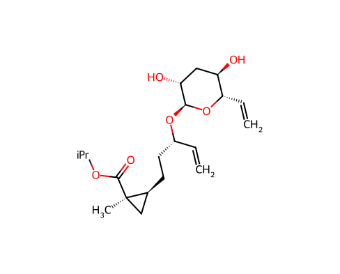 C=C[C@H](CC[C@H]1C[C@@]1(C)C(=O)OC(C)C)O[C@@H]1O[C@@H](C=C)[C@H](O)C[C@H]1O